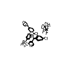 Cc1cc(C(NC(=O)[C@@H]2CC[C@@H](N3CCOCC3)C[C@H]2c2ccc(Br)cc2)c2ccc(Cl)cc2)ccn1.O=C(O)C(F)(F)F